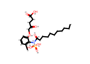 CCCCCCCCCCC(=O)N(c1c(C)cccc1OCC(=O)CCC(=O)O)P(=O)(O)O